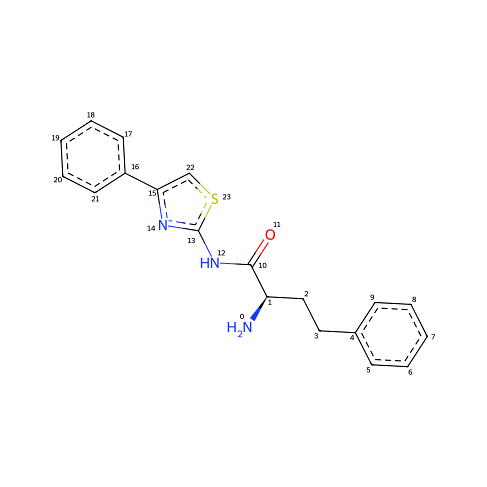 N[C@H](CCc1ccccc1)C(=O)Nc1nc(-c2ccccc2)cs1